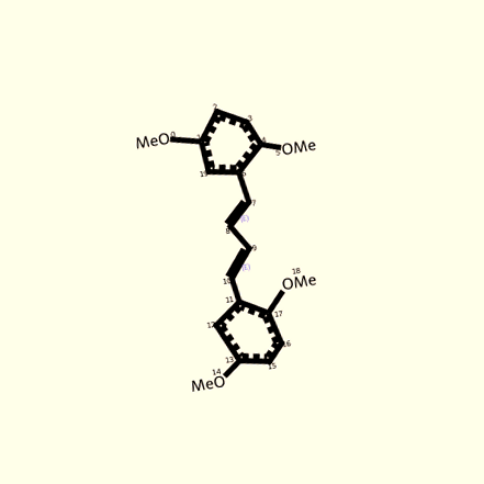 COc1ccc(OC)c(/C=C/C=C/c2cc(OC)ccc2OC)c1